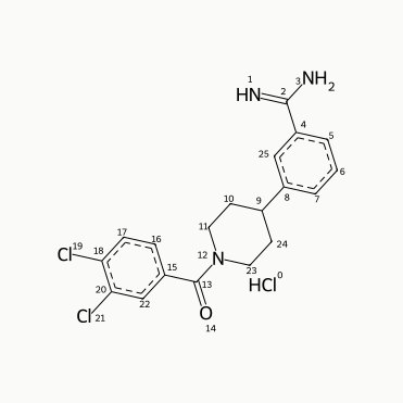 Cl.N=C(N)c1cccc(C2CCN(C(=O)c3ccc(Cl)c(Cl)c3)CC2)c1